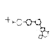 CC(C)(C)OC(=O)N1CCN(c2ccc(-c3cc(-c4cc5c([nH]4)C4(CCC4)CNC5=O)ccn3)cc2)CC1